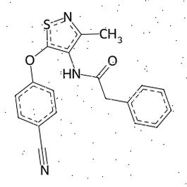 Cc1nsc(Oc2ccc(C#N)cc2)c1NC(=O)Cc1ccccc1